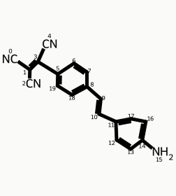 N#CC(C#N)=C(C#N)c1ccc(C=Cc2ccc(N)cc2)cc1